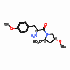 CC(C)(C)Oc1ccc(C[C@@H](N)C(=O)N2C[C@H](OC(C)(C)C)C[C@H]2C(=O)O)cc1